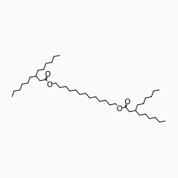 CCCCCCC(CCCCCC)CC(=O)OCCCCCCCCCCCCCOC(=O)CC(CCCCCC)CCCCCC